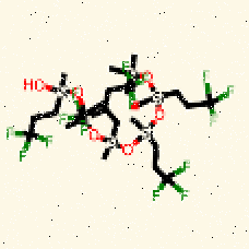 C[Si](C)(C)O[Si](C)(CCC(F)(F)F)O[Si](C)(CCC(F)(F)F)O[Si](C)(CCC(F)(F)F)O[Si](C)(CCC(F)(F)F)O[Si](C)(O)CCC(F)(F)F